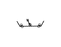 CCCCCC/C=C\C(=O)OCCCCCCCCC(CCCCCCCCOC(=O)/C=C\CCCCCC)O/N=C/CCCN(C)C